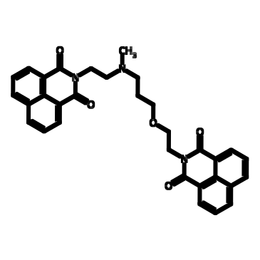 CN(CCCOCCN1C(=O)c2cccc3cccc(c23)C1=O)CCN1C(=O)c2cccc3cccc(c23)C1=O